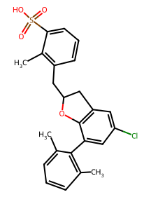 Cc1cccc(C)c1-c1cc(Cl)cc2c1OC(Cc1cccc(S(=O)(=O)O)c1C)C2